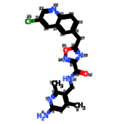 Cc1cc(N)nc(C)c1CNC(=O)c1noc(Cc2ccc3ncc(Cl)cc3c2)n1